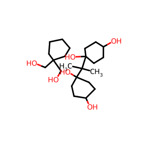 CC(C)(C1(O)CCC(O)CC1)C1(O)CCC(O)CC1.OCC1(CO)CCCCC1